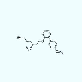 COc1ccc(-c2ccccc2OCCC(C)CCCC(C)C)cc1